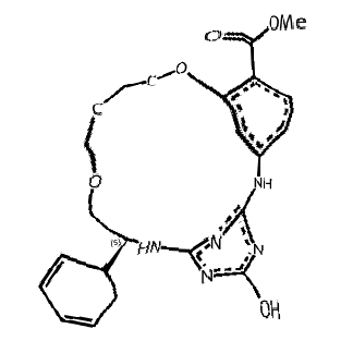 COC(=O)c1ccc2cc1OCCCCOC[C@H](C1C=CC=CC1)Nc1nc(O)nc(n1)N2